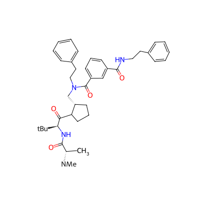 CN[C@@H](C)C(=O)N[C@H](C(=O)C1CCC[C@H]1CN(CCc1ccccc1)C(=O)c1cccc(C(=O)NCCc2ccccc2)c1)C(C)(C)C